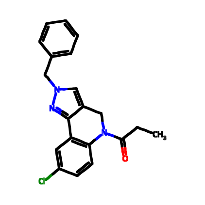 CCC(=O)N1Cc2cn(Cc3ccccc3)nc2-c2cc(Cl)ccc21